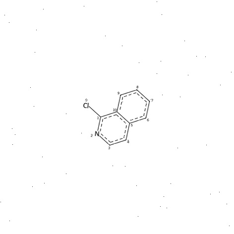 Clc1nc[c]c2ccccc12